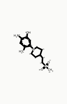 Cc1cc(N)c(O)cc1N1CCC(CCS(C)(=O)=O)CC1